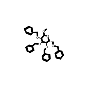 COC1O[C@H](COCc2ccccc2)[C@@H](OCc2ccccc2)[C@H](OCc2ccccc2)[C@H]1OCc1ccccc1